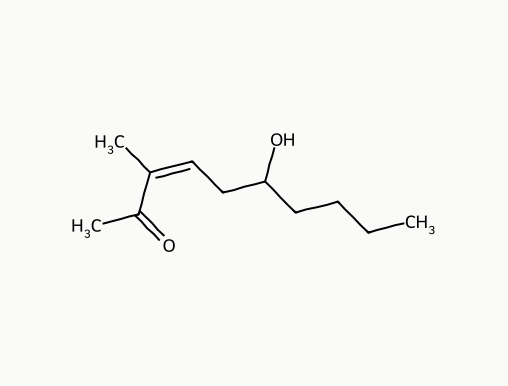 CCCCC(O)CC=C(C)C(C)=O